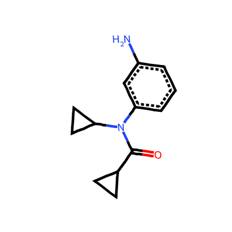 Nc1cccc(N(C(=O)C2CC2)C2CC2)c1